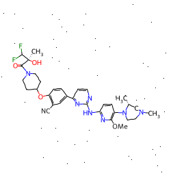 COc1nc(Nc2nccc(-c3ccc(OC4CCN(C(=O)[C@](C)(O)C(F)F)CC4)c(C#N)c3)n2)ccc1N1CCN(C)C[C@H]1C